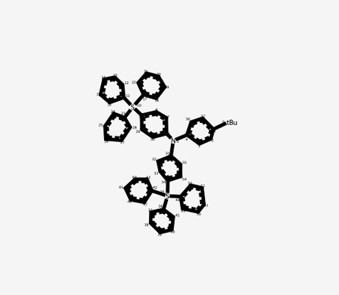 CC(C)(C)c1ccc(N(c2ccc(S(c3ccccc3)(c3ccccc3)c3ccccc3)cc2)c2ccc(S(c3ccccc3)(c3ccccc3)c3ccccc3)cc2)cc1